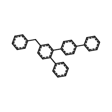 c1ccc(Cc2ccc(-c3ccccc3)c(-c3ccc(-c4ccccc4)cc3)c2)cc1